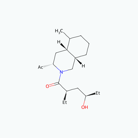 CC[C@@H](O)C[C@@H](CC)C(=O)N1C[C@H]2CCCC(C)[C@H]2C[C@H]1C(C)=O